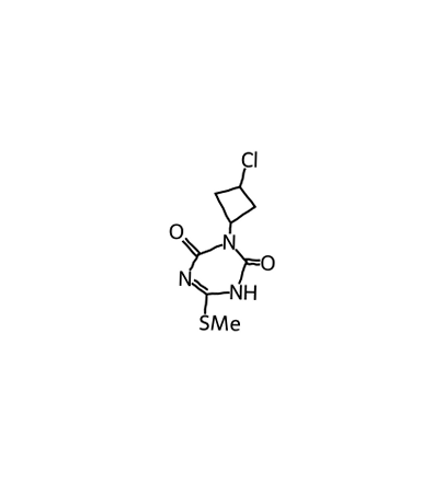 CSc1nc(=O)n(C2CC(Cl)C2)c(=O)[nH]1